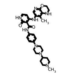 Cc1c(Nc2cc[nH]c(=O)c2C(=O)Nc2ccc(N3CCN(C4CCN(C)CC4)CC3)cc2)cnc2c1NCCO2